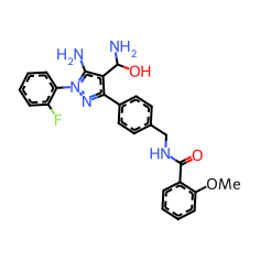 COc1ccccc1C(=O)NCc1ccc(-c2nn(-c3ccccc3F)c(N)c2C(N)O)cc1